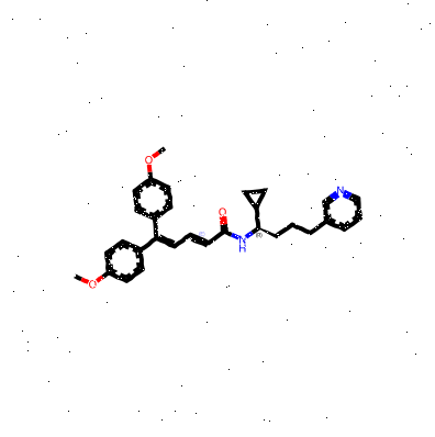 COc1ccc(C(=C/C=C/C(=O)N[C@H](CCCc2cccnc2)C2CC2)c2ccc(OC)cc2)cc1